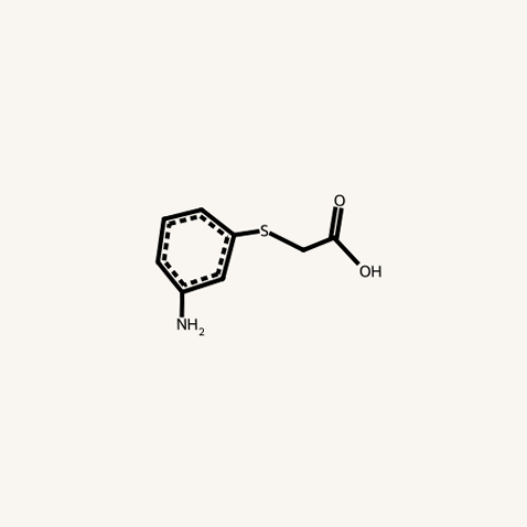 Nc1cccc(SCC(=O)O)c1